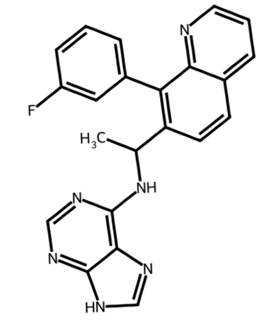 CC(Nc1ncnc2[nH]cnc12)c1ccc2cccnc2c1-c1cccc(F)c1